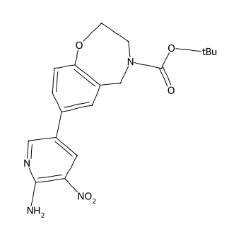 CC(C)(C)OC(=O)N1CCOc2ccc(-c3cnc(N)c([N+](=O)[O-])c3)cc2C1